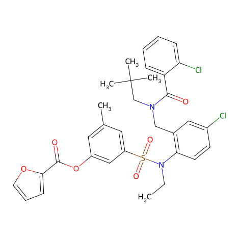 CCN(c1ccc(Cl)cc1CN(CC(C)(C)C)C(=O)c1ccccc1Cl)S(=O)(=O)c1cc(C)cc(OC(=O)c2ccco2)c1